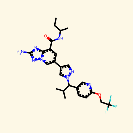 CCC(C)NC(=O)c1cc(-c2cnn(C(c3ccc(OCC(F)(F)F)nc3)C(C)C)c2)cn2nc(N)nc12